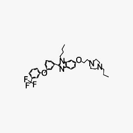 CCCCn1c(-c2cccc(Oc3cccc(C(F)(F)F)c3)c2)nc2ccc(OCCN3CCN(CCC)CC3)cc21